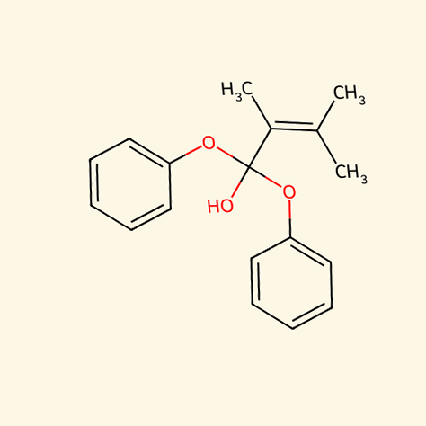 CC(C)=C(C)C(O)(Oc1ccccc1)Oc1ccccc1